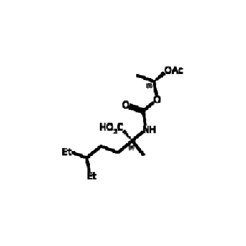 CCC(CC)CC[C@](C)(NC(=O)O[C@@H](C)OC(C)=O)C(=O)O